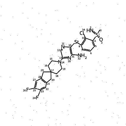 CS(=N)(=O)c1cccc(Sc2ncc(N3CCC4(CC3)Cc3cc(F)c(F)cc3C4)nc2N)c1Cl